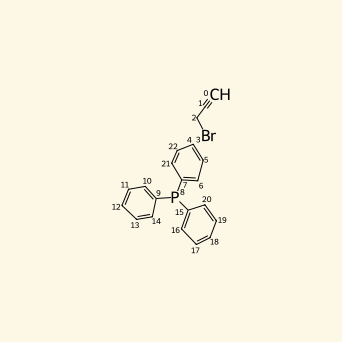 C#CCBr.c1ccc(P(c2ccccc2)c2ccccc2)cc1